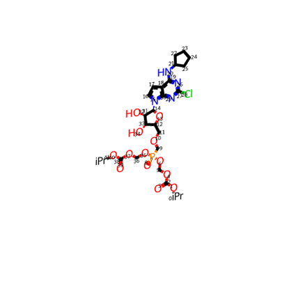 CC(C)OC(=O)OCOP(=O)(COCC1O[C@@H](n2ccc3c(NC4CCCC4)nc(Cl)nc32)[C@H](O)[C@@H]1O)OCOC(=O)OC(C)C